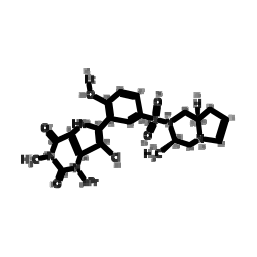 CCCn1c(=O)n(C)c(=O)c2[nH]c(-c3cc(S(=O)(=O)N4C[C@@H]5CC=CN5C[C@H]4C)ccc3OCC)c(Cl)c21